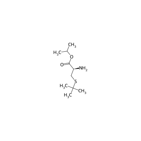 CC(C)OC(=O)[C@@H](N)CSC(C)(C)C